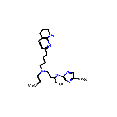 COCCN(CCCCc1ccc2c(n1)NCCC2)CCC(Nc1cnc(OC)cn1)C(=O)O